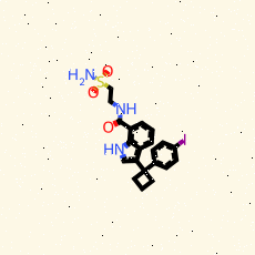 NS(=O)(=O)CCNC(=O)c1cccc2c(C3(c4ccc(I)cc4)CCC3)c[nH]c12